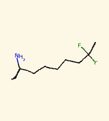 CC(N)CCCCCC(C)(F)F